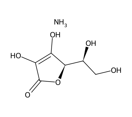 N.O=C1O[C@H]([C@@H](O)CO)C(O)=C1O